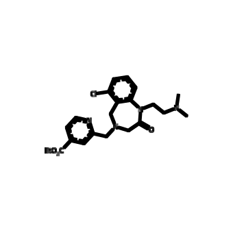 CCOC(=O)c1ccnc(CN2CC(=O)N(CCN(C)C)c3cccc(Cl)c3C2)c1